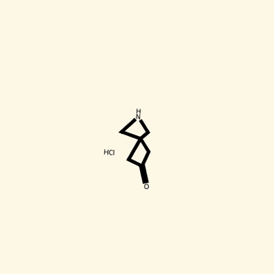 Cl.O=C1CC2(CNC2)C1